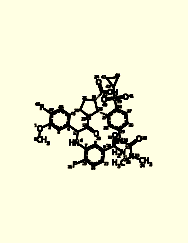 COc1cc(C(Nc2cc(C(N)=O)ccc2F)C(=O)N2CC[C@H](C(=O)O)[C@@H]2c2cc(NC(=O)N(C)C)ccc2S(=O)(=O)C2CC2)ccc1F